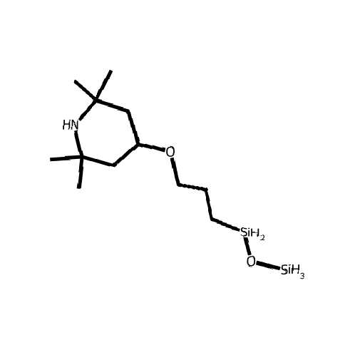 CC1(C)CC(OCCC[SiH2]O[SiH3])CC(C)(C)N1